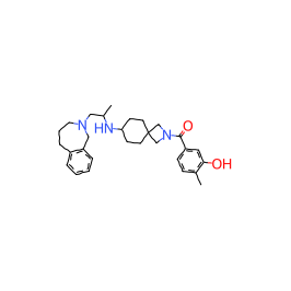 Cc1ccc(C(=O)N2CC3(CCC(NC(C)CN4CCCc5ccccc5C4)CC3)C2)cc1O